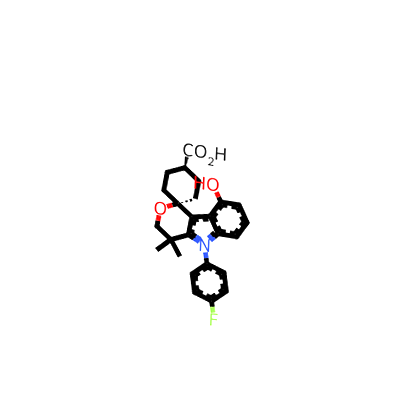 CC1(C)CO[C@]2(CC[C@H](C(=O)O)CC2)c2c1n(-c1ccc(F)cc1)c1cccc(O)c12